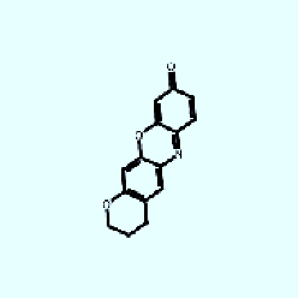 O=c1ccc2nc3cc4c(cc3oc-2c1)OCCC4